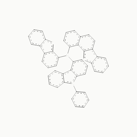 c1ccc(-n2c3ccccc3c3c(N(c4cccc5c4sc4ccccc45)c4cccc5ccc6c7ccccc7sc6c45)cccc32)cc1